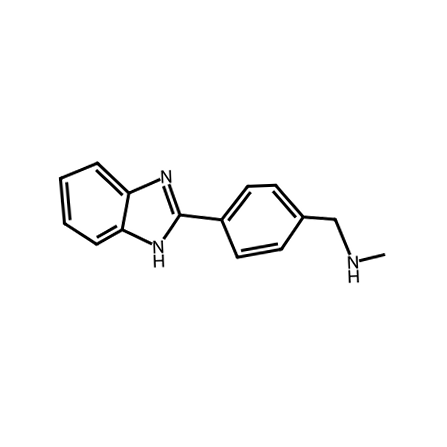 CNCc1ccc(-c2nc3ccccc3[nH]2)cc1